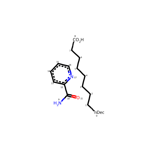 CCCCCCCCCCCCCCCCCC(=O)O.NC(=O)c1ccccn1